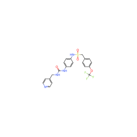 O=C(NCc1ccncc1)Nc1ccc(NS(=O)(=O)Cc2ccc(OC(F)(F)F)cc2)cc1